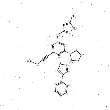 Cc1cc(Nc2cc(C#CCN)nc(N3CCCC3c3cc(-c4ccccn4)no3)n2)n[nH]1